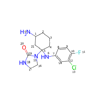 NC1CCCC(Nc2ccc(F)c(Cl)c2)(N2CCNC2=O)C1